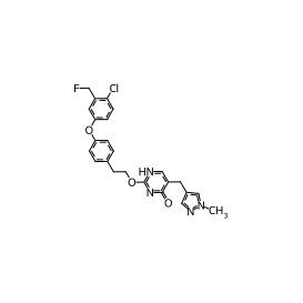 Cn1cc(Cc2c[nH]c(OCCc3ccc(Oc4ccc(Cl)c(CF)c4)cc3)nc2=O)cn1